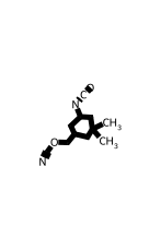 CC1(C)CC(COC#N)CC(N=C=O)C1